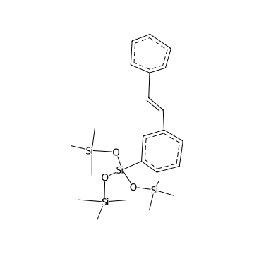 C[Si](C)(C)O[Si](O[Si](C)(C)C)(O[Si](C)(C)C)c1cccc(/C=C/c2ccccc2)c1